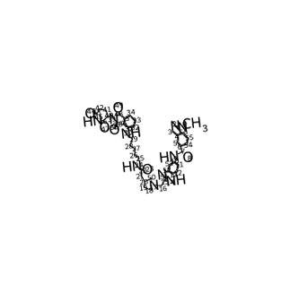 Cn1ncc2cc(C(=O)Nc3ccc4[nH]c(CN5CCC(CC(=O)NCCCCCNc6cccc7c6C(=O)N(C6CCC(=O)NC6=O)C7=O)C5)nc4c3)ccc21